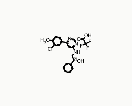 Cc1ccc(-c2cc(NC[C@H](O)c3ccccc3)ncn2)cc1Cl.O=C(O)C(F)(F)F